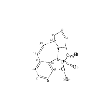 O=P(OBr)(OBr)C1c2ccccc2C=Cc2ccccc21